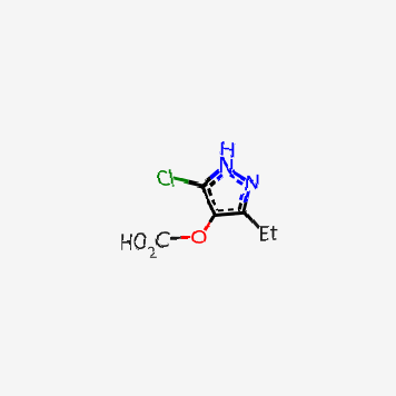 CCc1n[nH]c(Cl)c1OC(=O)O